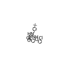 CC(C)(C)c1ccc(CNC2=NS(=O)(=O)c3cccc(Oc4ccccc4Cl)c3N2)cc1